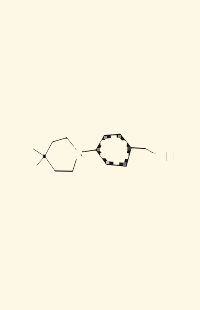 OCc1ccc(N2CCC(F)(F)CC2)cc1